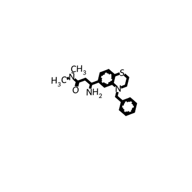 CN(C)C(=O)CC(N)c1ccc2c(c1)N(Cc1ccccc1)CCS2